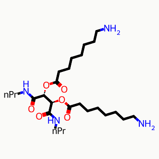 CCCNC(=O)[C@H](OC(=O)CCCCCCCN)[C@@H](OC(=O)CCCCCCCN)C(=O)NCCC